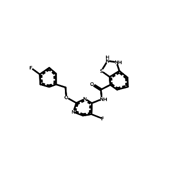 O=C(Nc1nc(OCc2ccc(F)cc2)ncc1F)c1cccc2c1SNN2